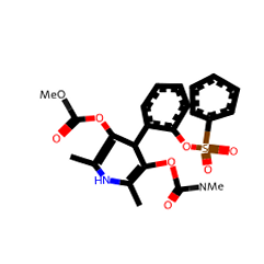 CNC(=O)OC1=C(C)NC(C)=C(OC(=O)OC)C1c1ccccc1OS(=O)(=O)c1ccccc1